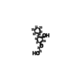 OCCOc1ccc(-c2[c]cccc2)c(O)c1